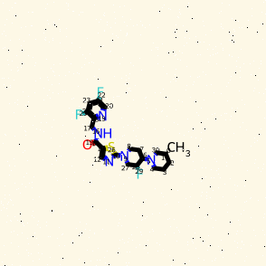 C[C@@H]1CCCN(C2CCN(c3ncc(C(=O)NCc4ncc(F)cc4F)s3)CC2F)C1